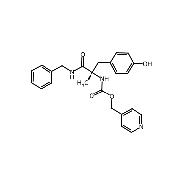 C[C@@](Cc1ccc(O)cc1)(NC(=O)OCc1ccncc1)C(=O)NCc1ccccc1